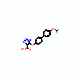 O=C(O)c1nn[nH]c1Oc1ccc(-c2ccc(OC(F)F)cc2)cc1